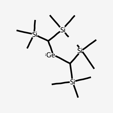 C[Si](C)(C)[CH]([Ge][CH]([Si](C)(C)C)[Si](C)(C)C)[Si](C)(C)C